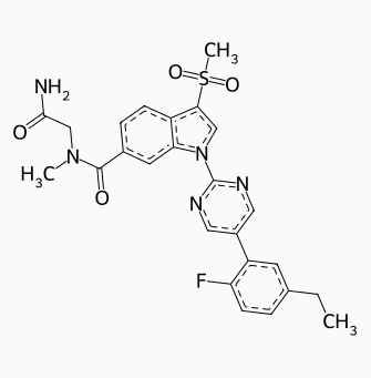 CCc1ccc(F)c(-c2cnc(-n3cc(S(C)(=O)=O)c4ccc(C(=O)N(C)CC(N)=O)cc43)nc2)c1